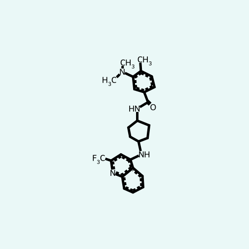 Cc1ccc(C(=O)NC2CCC(Nc3cc(C(F)(F)F)nc4ccccc34)CC2)cc1N(C)C